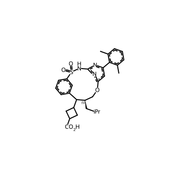 Cc1cccc(C)c1-c1cc2nc(n1)NS(=O)(=O)c1cccc(c1)C(C1CC(C(=O)O)C1)[C@H](CC(C)C)CO2